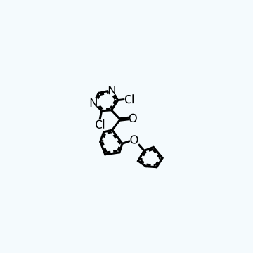 O=C(c1ccccc1Oc1ccccc1)c1c(Cl)ncnc1Cl